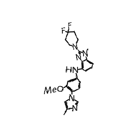 COc1cc(Nc2cccc3c2nc(N2CCC(F)(F)CC2)n3C)ccc1-n1cnc(C)c1